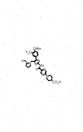 COc1ccc(-c2nc(NC(=O)c3cnc(N4CCC(C(=O)O)CC4)cn3)sc2CN2CCC[C@H]2CF)cc1C(F)(F)F